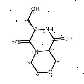 O=C1N[C@H](CO)C(=O)N2CCOCC12